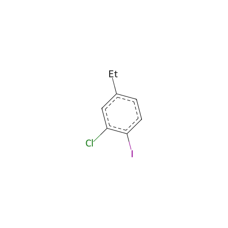 CCc1ccc(I)c(Cl)c1